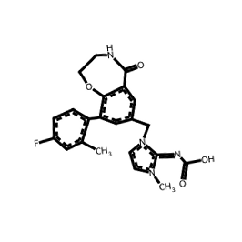 Cc1cc(F)ccc1-c1cc(Cn2ccn(C)c2=NC(=O)O)cc2c1OCCNC2=O